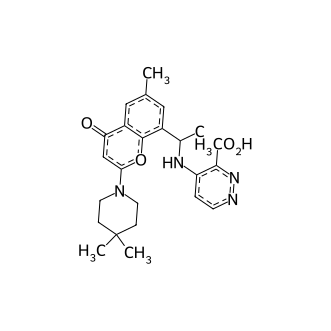 Cc1cc(C(C)Nc2ccnnc2C(=O)O)c2oc(N3CCC(C)(C)CC3)cc(=O)c2c1